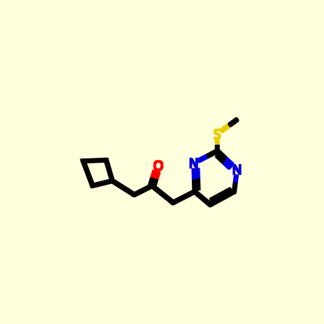 CSc1nccc(CC(=O)CC2CCC2)n1